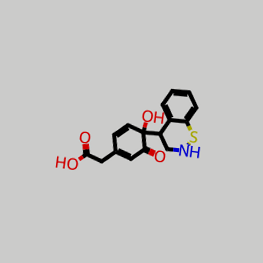 O=C(O)CC1=CC(=O)C(O)(C2CNSc3ccccc32)C=C1